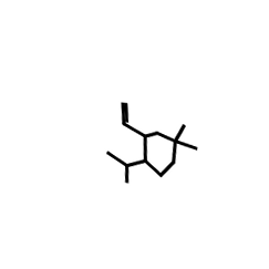 C=CC1CC(C)(C)CCC1C(C)C